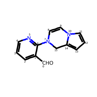 O=Cc1cccnc1N1C=Cn2cccc2C1